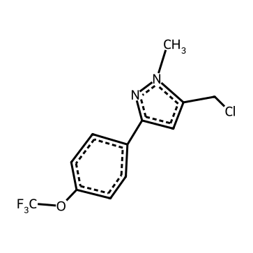 Cn1nc(-c2ccc(OC(F)(F)F)cc2)cc1CCl